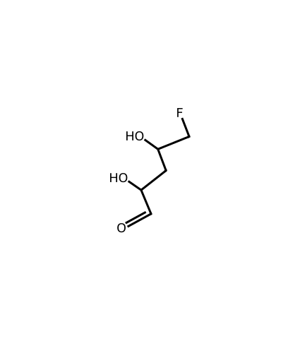 O=CC(O)CC(O)CF